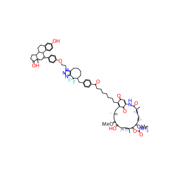 CO[C@H]1/C=C\C=C(/C)C(=O)NC2=CC(=O)C(CCCCCCCC(=O)c3ccc(CC4CCCCc5c(nnn5CCOc5ccc([C@H]6C[C@@]7(C)C(CC[C@@H]7O)C7CCc8cc(O)ccc8C76)cc5)C4(F)F)cc3)=C(C[C@@H](C)C[C@H](OC)[C@H](O)[C@@H](C)/C=C(\C)[C@@H]1OC(N)=O)C2=O